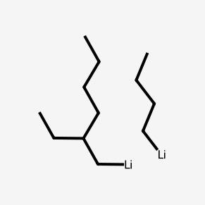 [Li][CH2]C(CC)CCCC.[Li][CH2]CCC